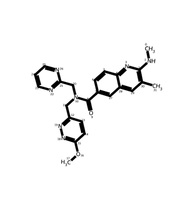 CNc1nc2ccc(C(=O)N(Cc3ccc(OC)nn3)Cc3ncccn3)cc2cc1C